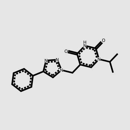 CC(C)n1cc(Cn2cc(-c3ccccc3)nn2)c(=O)[nH]c1=O